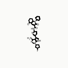 NC1=NCN(C2CCC(F)C2)c2[nH]cc(-c3ccc(NC(=O)c4cc5c(n(-c6ccccc6)c4=O)CCCC5=O)nc3)c21